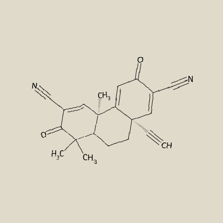 C#C[C@@]12C=C(C#N)C(=O)C=C1[C@]1(C)C=C(C#N)C(=O)C(C)(C)C1CC2